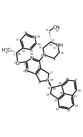 C[C@@H](Oc1nc2c(c(N3CCN[C@@H](CC#N)C3)n1)CN([C@@H]1Cc3cccc4cccc1c34)C2)c1ccncc1